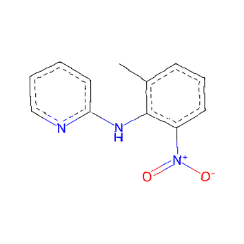 Cc1cccc([N+](=O)[O-])c1Nc1ccccn1